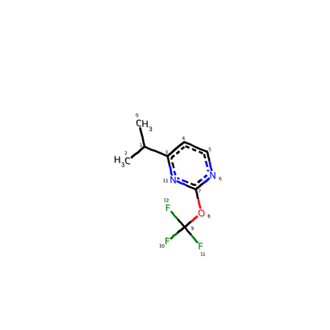 CC(C)c1ccnc(OC(F)(F)F)n1